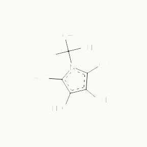 Cc1c(C)c(C)n(C(C)(C)C)c1C